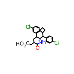 O=C(O)CC1CC(c2cccc(Cl)c2)C(C(c2ccc(Cl)cc2)C2CCC2)NC1=O